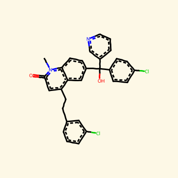 Cn1c(=O)cc(CCc2cccc(Cl)c2)c2cc(C(O)(c3ccc(Cl)cc3)c3cccnc3)ccc21